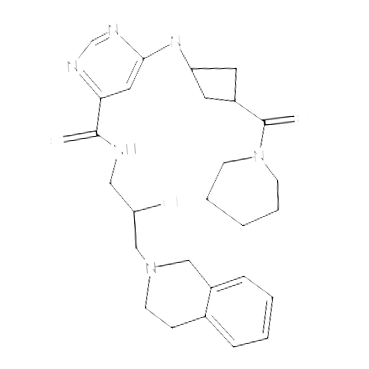 O=C(NCC(O)CN1CCc2ccccc2C1)c1cc(NC2CC(C(=O)N3CCCCC3)C2)ncn1